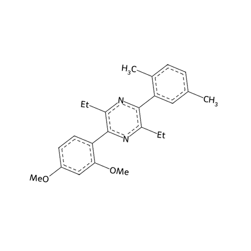 CCc1nc(-c2ccc(OC)cc2OC)c(CC)nc1-c1cc(C)ccc1C